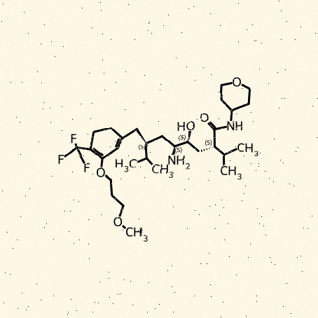 COCCCOC1=C(C(F)(F)F)CCC(C[C@@H](C[C@H](N)[C@@H](O)C[C@H](C(=O)NC2CCOCC2)C(C)C)C(C)C)=C1